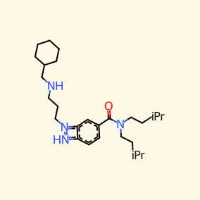 CC(C)CCN(CCC(C)C)C(=O)c1ccc2[nH]n(CCCNCC3CCCCC3)c2c1